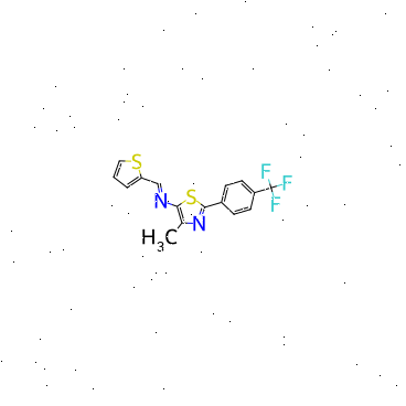 Cc1nc(-c2ccc(C(F)(F)F)cc2)sc1N=Cc1cccs1